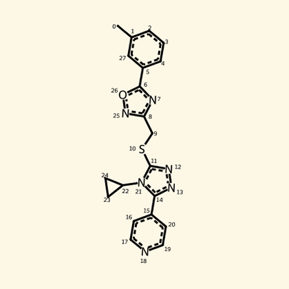 Cc1cccc(-c2nc(CSc3nnc(-c4ccncc4)n3C3CC3)no2)c1